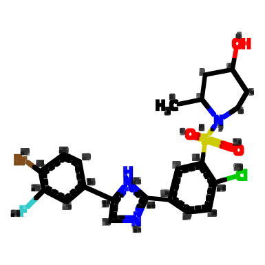 CC1CC(O)CCN1S(=O)(=O)c1cc(-c2ncc(-c3ccc(Br)c(F)c3)[nH]2)ccc1Cl